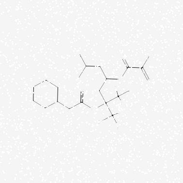 C=C(C)C(=O)OC(CC(C)C)CC(OC(=O)CC1CCCCC1)(C(F)(F)F)C(F)(F)F